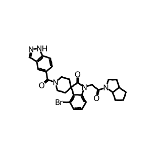 O=C(c1ccc2[nH]ncc2c1)N1CCC2(CC1)C(=O)N(CC(=O)N1CCC3CCCC31)c1cccc(Br)c12